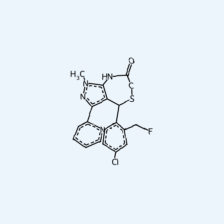 Cn1nc(-c2ccccn2)c2c1NC(=O)CSC2c1ccc(Cl)cc1CF